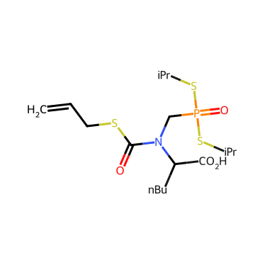 C=CCSC(=O)N(CP(=O)(SC(C)C)SC(C)C)C(CCCC)C(=O)O